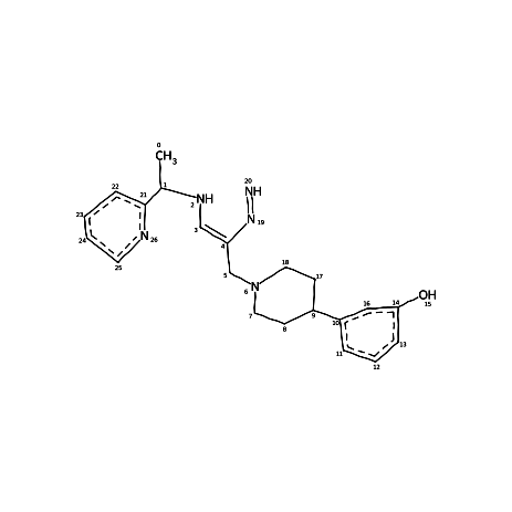 CC(N/C=C(/CN1CCC(c2cccc(O)c2)CC1)N=N)c1ccccn1